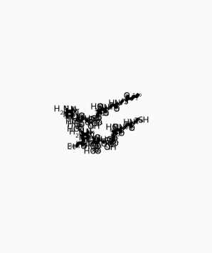 C=CC=CC(=O)SCCNC(=O)CCNC(=O)[C@H](O)C(C)(C)COP(=O)(O)OP(=O)(O)OC[C@H]1O[C@@H](n2cnc3c(N)ncnc32)[C@H](O)[C@@H]1OP(=O)(O)O.CCC=CC(=O)c1nc(N)c2ncn([C@@H]3O[C@H](COP(=O)(O)OP(=O)(O)OCC(C)(C)[C@@H](O)C(=O)NCCC(=O)NCCS)[C@@H](OP(=O)(O)O)[C@H]3O)c2n1